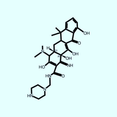 CN(C)C1C(O)=C(C(=O)NCN2CCNCC2)C(=N)[C@@]2(O)C(O)=C3C(=O)c4c(O)cccc4C(C)(C)C3C[C@@H]12